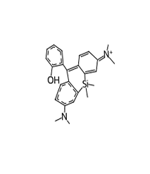 CN(C)c1ccc2c(c1)[Si](C)(C)C1=CC(=[N+](C)C)C=CC1=C2c1ccccc1O